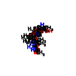 CC[C@H](C)[C@@H]([C@@H](CC(=O)N1CCC[C@H]1[C@H](OC)[C@@H](C)C(=O)N[C@@H](C)CO)OC)N(C)C(=O)[C@@H](NC(=O)[C@@H](N)CNS(C)(=O)=O)C(C)C